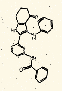 O=C(Nc1cc(-c2[nH]c3c(c2Nc2ccccc2)C(=O)CCC3)ccn1)c1ccccc1